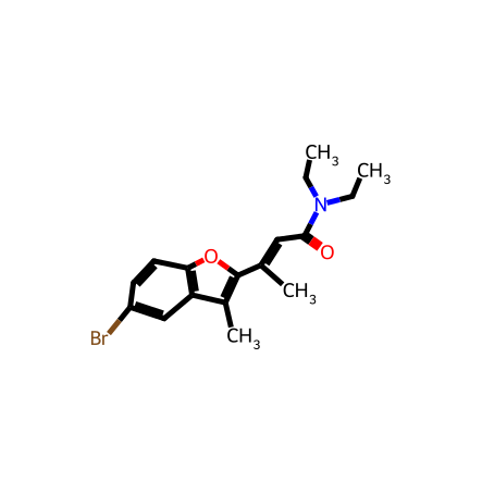 CCN(CC)C(=O)/C=C(\C)c1oc2ccc(Br)cc2c1C